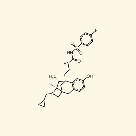 C[C@H]1[C@@H]2N(CC3CC3)CC23Cc2ccc(O)cc2[C@@]1(CCNC(=O)NS(=O)(=O)c1ccc(F)cc1)C3